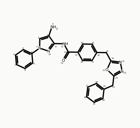 Nc1cn(-c2ccccc2)nc1NC(=O)c1ccc(Cc2nnc(Cc3ccccc3)o2)cc1